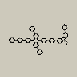 CCn1c2ccc(-c3ccccc3)cc2c2cc(-c3ccc(-c4ccc(-c5c6ccc(-c7ccccc7)cc6c(-c6ccc(-c7ccc(-c8ccccc8)cc7)cc6)c6ccc(-c7ccccc7)cc56)cc4)cc3)ccc21